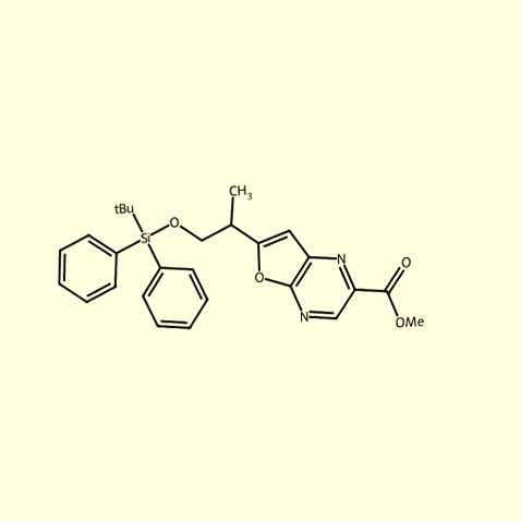 COC(=O)c1cnc2oc(C(C)CO[Si](c3ccccc3)(c3ccccc3)C(C)(C)C)cc2n1